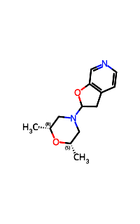 C[C@@H]1CN(C2Cc3ccncc3O2)C[C@H](C)O1